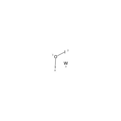 IOI.[W]